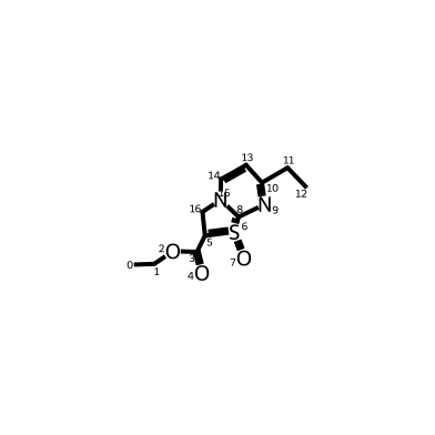 CCOC(=O)C1=S(=O)=C2N=C(CC)C=CN2C1